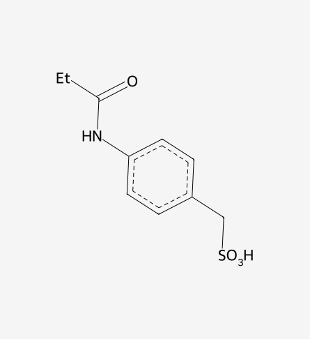 CCC(=O)Nc1ccc(CS(=O)(=O)O)cc1